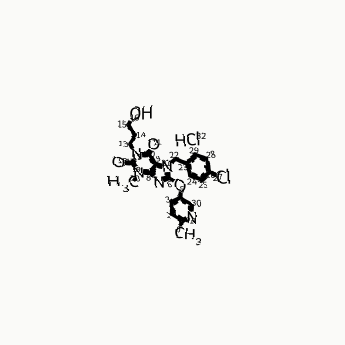 Cc1ccc(Oc2nc3c(c(=O)n(CCCO)c(=O)n3C)n2Cc2ccc(Cl)cc2)cn1.Cl